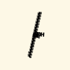 C=C(C)C(=O)O.CCCCCCCCCCCCCCCCOCCCCCCCCCCCCCCCC